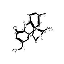 COc1cc(F)c2c(c1)C1(CCOC(N)=N1)c1cc(Br)ccc1O2